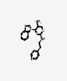 Nc1cnc(NCCc2ccncc2)nc1-n1cnc2ccccc21